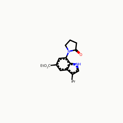 CCOC(=O)c1cc(N2CCCC2=O)c2[nH]cc(C(C)C)c2c1